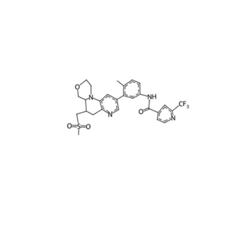 Cc1ccc(NC(=O)c2ccnc(C(F)(F)F)c2)cc1-c1cnc2c(c1)N1CCOCC1C(CS(C)(=O)=O)C2